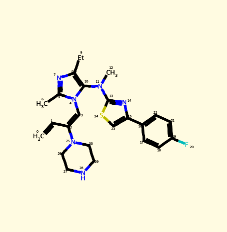 C=C/C(=C\n1c(C)nc(CC)c1N(C)c1nc(-c2ccc(F)cc2)cs1)N1CCNCC1